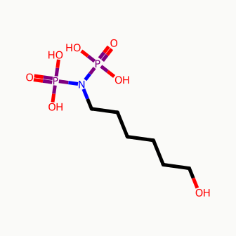 O=P(O)(O)N(CCCCCCO)P(=O)(O)O